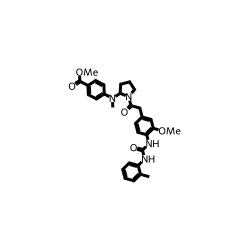 COC(=O)c1ccc(N(C)C2CCCN2C(=O)Cc2ccc(NC(=O)Nc3ccccc3C)c(OC)c2)cc1